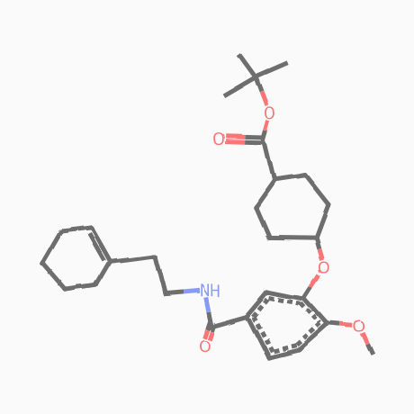 COc1ccc(C(=O)NCCC2=CCCCC2)cc1OC1CCC(C(=O)OC(C)(C)C)CC1